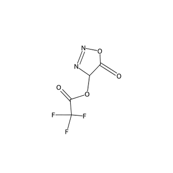 O=C1ON=NC1OC(=O)C(F)(F)F